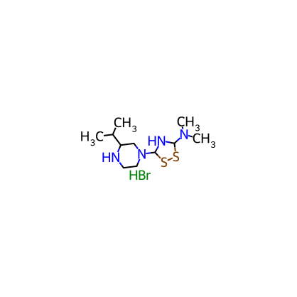 Br.CC(C)C1CN(C2NC(N(C)C)SS2)CCN1